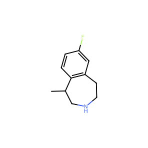 CC1CNCCc2cc(F)ccc21